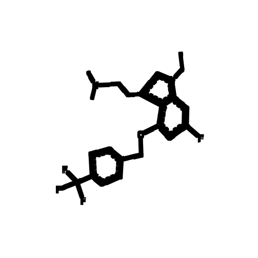 CCn1cc(CCN(C)C)c2c(OCc3ccc(C(F)(F)F)cc3)cc(F)cc21